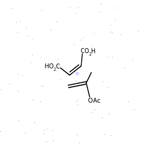 C=C(C)OC(C)=O.O=C(O)/C=C\C(=O)O